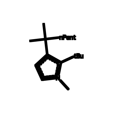 CCCCCC(C)(C)c1ccn(C)c1C(C)(C)C